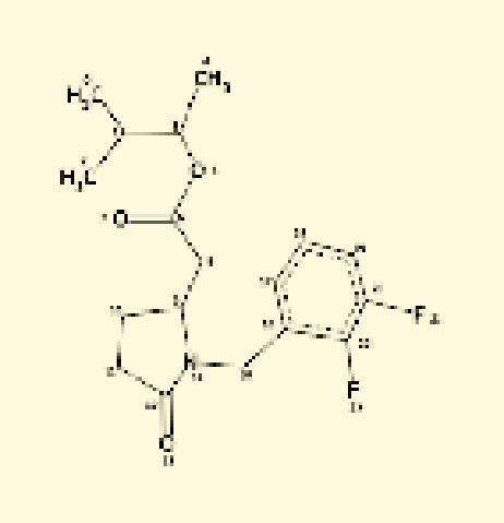 CC(C)C(C)OC(=O)CC1CCC(=O)N1Cc1cccc(F)c1F